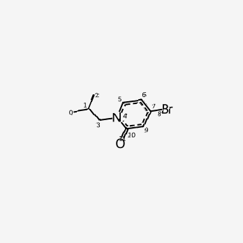 CC(C)Cn1ccc(Br)cc1=O